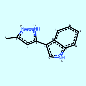 Cc1cc(-c2c[nH]c3ccccc23)[nH]n1